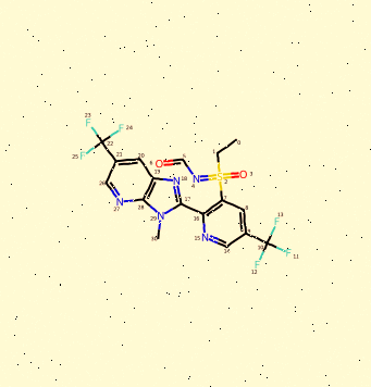 CCS(=O)(=NC=O)c1cc(C(F)(F)F)cnc1-c1nc2cc(C(F)(F)F)cnc2n1C